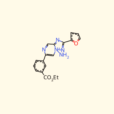 CCOC(=O)c1cccc(C2=C[N+]3(N)N=C(c4ccco4)N=C3C=N2)c1